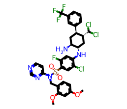 COc1ccc(CN(c2ccncn2)S(=O)(=O)c2cc(Cl)c(N[C@H]3C[C@@H](C(Cl)Cl)[C@H](c4cccc(C(F)(F)F)c4)C[C@@H]3N)cc2F)c(OC)c1